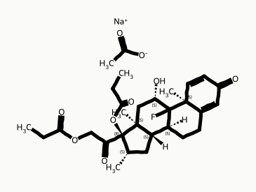 CC(=O)[O-].CCC(=O)OCC(=O)[C@@]1(OC(=O)CC)[C@@H](C)C[C@H]2[C@@H]3CCC4=CC(=O)C=C[C@]4(C)C3(F)[C@@H](O)C[C@@]21C.[Na+]